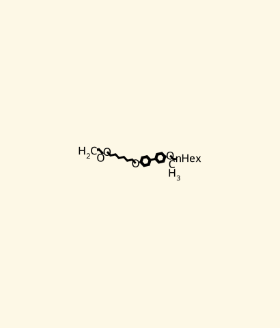 C=CC(=O)OCCCCCCOc1ccc(-c2ccc(OC(C)CCCCCC)cc2)cc1